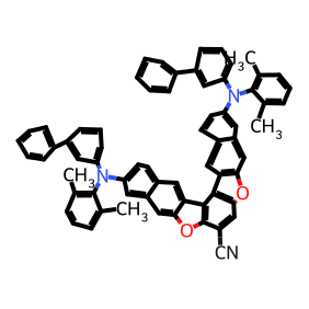 Cc1cccc(C)c1N(c1cccc(-c2ccccc2)c1)c1ccc2cc3c(cc2c1)oc1cc(C#N)c2oc4cc5cc(N(c6cccc(-c7ccccc7)c6)c6c(C)cccc6C)ccc5cc4c2c13